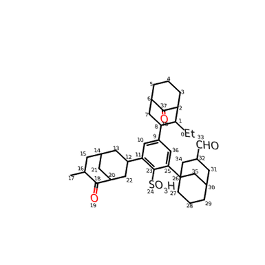 CCC1C2CCCC(CC1c1cc(C3CC4CC(C)C(=O)C(C4)C3)c(S(=O)(=O)O)c(C34CCCC(CC(C=O)C3)C4)c1)C2=O